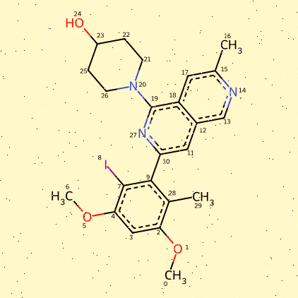 COc1cc(OC)c(I)c(-c2cc3cnc(C)cc3c(N3CCC(O)CC3)n2)c1C